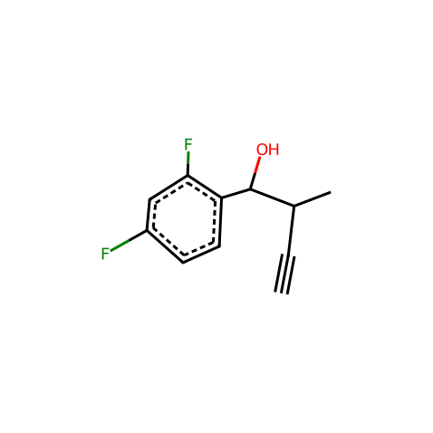 C#CC(C)C(O)c1ccc(F)cc1F